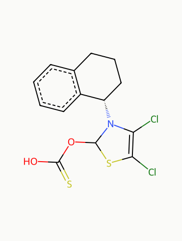 OC(=S)OC1SC(Cl)=C(Cl)N1[C@H]1CCCc2ccccc21